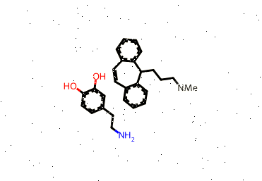 CNCCCC1c2ccccc2C=Cc2ccccc21.NCCc1ccc(O)c(O)c1